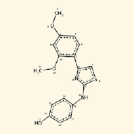 COc1ccc(-c2csc(Nc3ccc(O)cc3)n2)c(OC)c1